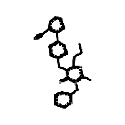 CCCc1nc(C)n(Cc2ccccn2)c(=O)c1Cc1ccc(-c2ccccc2C#N)cc1